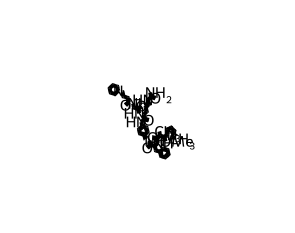 COC(C(C)C(=O)NC(Cc1ccccc1)C(=O)NCc1ccc(NC(=O)C(CCCNC(N)=O)NC(=O)CNC(=O)CCCN2CCCCC2)cc1)C1CCCN1C